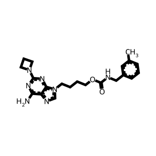 Cc1cccc(CNC(=O)OCCCCn2cnc3c(N)nc(N4CCC4)nc32)c1